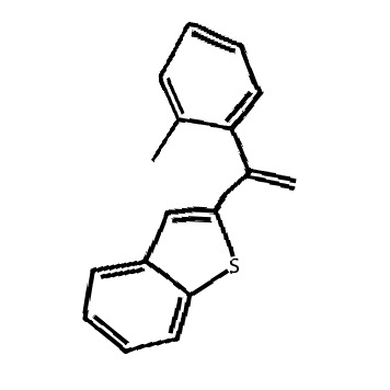 C=C(c1cc2ccccc2s1)c1ccccc1C